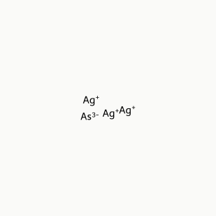 [Ag+].[Ag+].[Ag+].[As-3]